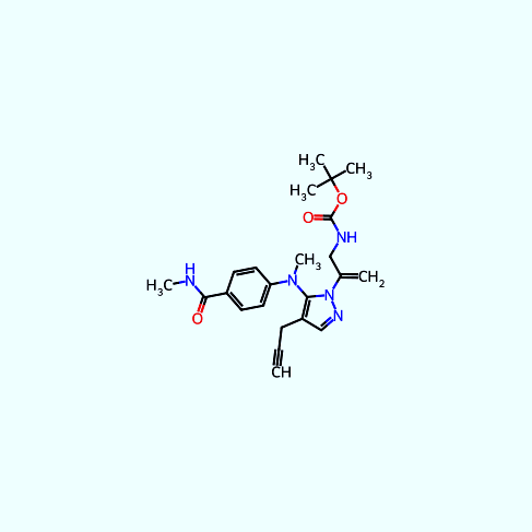 C#CCc1cnn(C(=C)CNC(=O)OC(C)(C)C)c1N(C)c1ccc(C(=O)NC)cc1